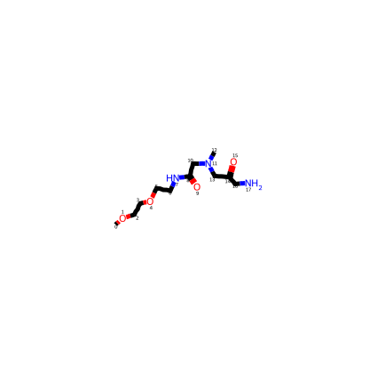 COCCOCCNC(=O)CN(C)CC(=O)CN